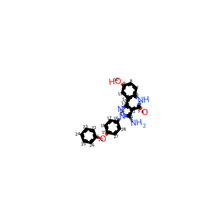 Nc1c2c(=O)[nH]c3ccc(O)cc3c2nn1-c1ccc(Oc2ccccc2)cc1